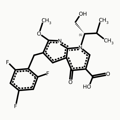 COc1nc2c(cc1Cc1c(F)cc(F)cc1F)c(=O)c(C(=O)O)cn2[C@H](CO)C(C)C